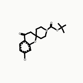 CC(C)(C)OC(=O)N1CCC2(CC1)CC(=O)c1ccc(Cl)cc1O2